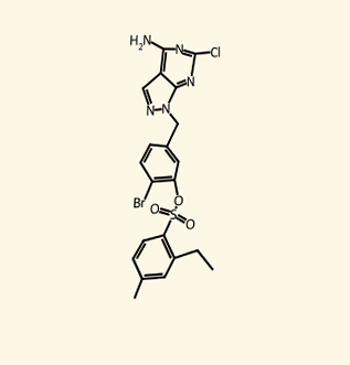 CCc1cc(C)ccc1S(=O)(=O)Oc1cc(Cn2ncc3c(N)nc(Cl)nc32)ccc1Br